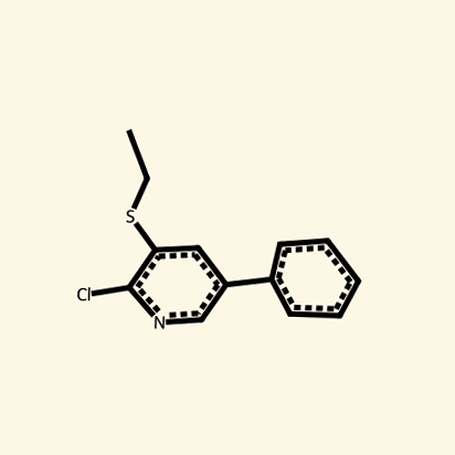 CCSc1cc(-c2ccccc2)cnc1Cl